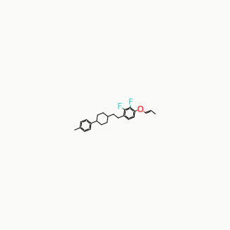 C/C=C/Oc1ccc(CCC2CCC(c3ccc(C)cc3)CC2)c(F)c1F